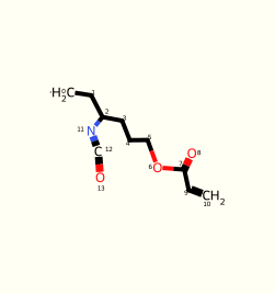 [CH2]CC(CCCOC(=O)C=C)N=C=O